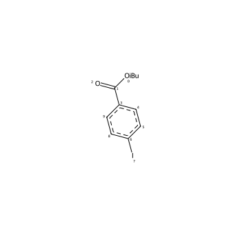 CC(C)COC(=O)c1ccc(I)cc1